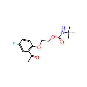 CC(=O)c1cc(F)ccc1OCCOC(=O)NC(C)(C)C